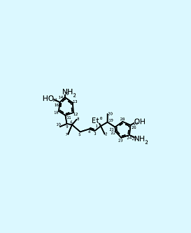 CCC(C)(/C=C/CC(C)(C)C(C)c1ccc(N)c(O)c1)C(C)c1ccc(N)c(O)c1